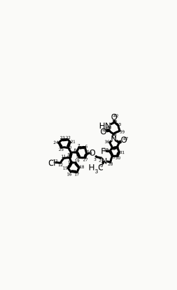 CN(CCOc1ccc(/C(=C(/CCCl)c2ccccc2)c2ccccc2)cc1)Cc1ccc2c(c1F)CN(C1CCC(=O)NC1=O)C2=O